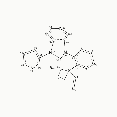 C=CC1(C)c2ccccc2N2c3cncnc3N(c3cccnc3)C2C1(C)C